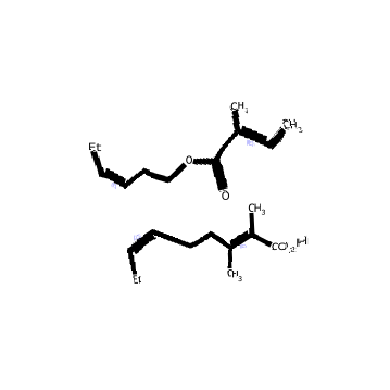 C/C=C(\C)C(=O)OCC/C=C\CC.CC/C=C\CC/C(C)=C(\C)C(=O)O